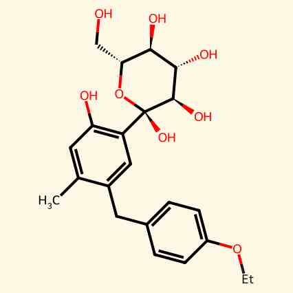 CCOc1ccc(Cc2cc([C@]3(O)O[C@H](CO)[C@@H](O)[C@H](O)[C@H]3O)c(O)cc2C)cc1